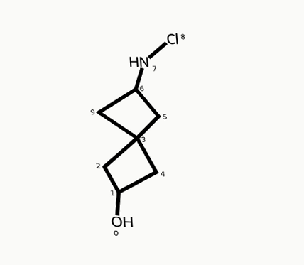 OC1CC2(C1)CC(NCl)C2